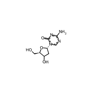 Nc1ncn([C@@H]2CC(O)[C@@H](CO)O2)c(=O)n1